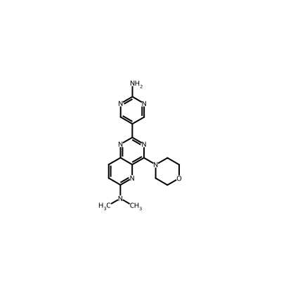 CN(C)c1ccc2nc(-c3cnc(N)nc3)nc(N3CCOCC3)c2n1